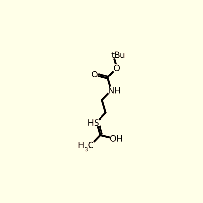 CC(O)=[SH]CCNC(=O)OC(C)(C)C